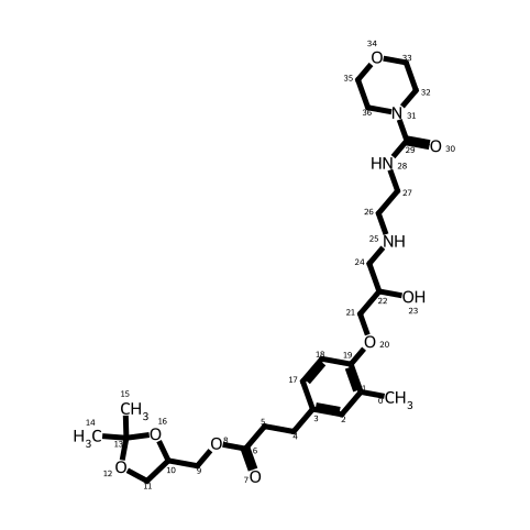 Cc1cc(CCC(=O)OCC2COC(C)(C)O2)ccc1OCC(O)CNCCNC(=O)N1CCOCC1